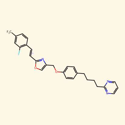 Fc1cc(C(F)(F)F)ccc1/C=C/c1nc(COc2ccc(CCCCc3ncccn3)cc2)co1